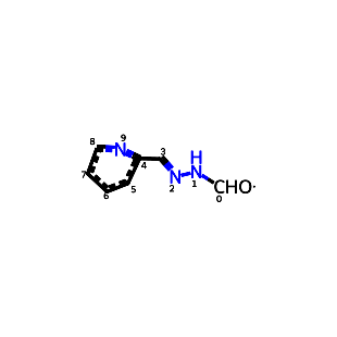 O=[C]NN=Cc1ccccn1